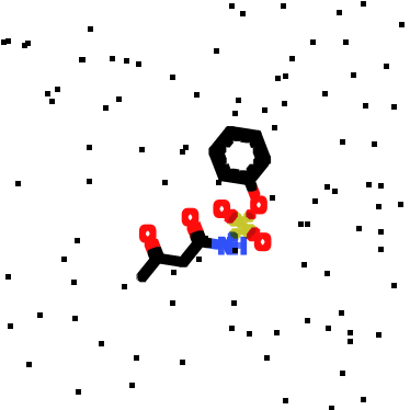 CC(=O)CC(=O)NS(=O)(=O)Oc1ccccc1